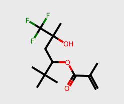 C=C(C)C(=O)OC(CC(C)(O)C(F)(F)F)C(C)(C)C